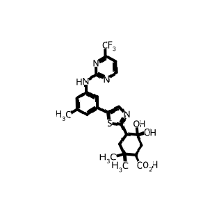 Cc1cc(Nc2nccc(C(F)(F)F)n2)cc(-c2cnc(C3CC(C)(C)C(C(=O)O)CC3(O)O)s2)c1